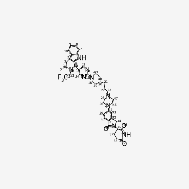 C[C@@H]1Cc2c([nH]c3ccccc23)[C@@H](c2cnc(N3CCC(CCCN4CCN(c5ccc6c(c5)CN(C5CCC(=O)NC5=O)C6=O)CC4)CC3)nc2)N1CC(F)(F)F